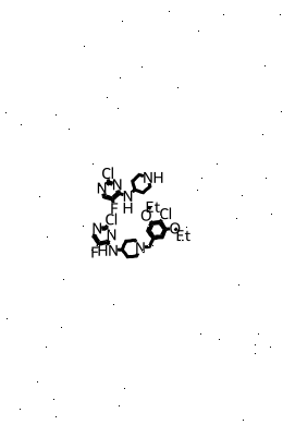 CCOc1cc(CN2CCC(Nc3nc(Cl)ncc3F)CC2)cc(OCC)c1Cl.Fc1cnc(Cl)nc1NC1CCNCC1